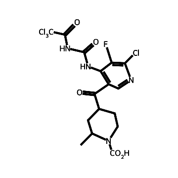 CC1CC(C(=O)c2cnc(Cl)c(F)c2NC(=O)NC(=O)C(Cl)(Cl)Cl)CCN1C(=O)O